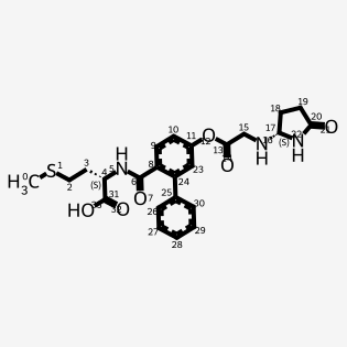 CSCC[C@H](NC(=O)c1ccc(OC(=O)CN[C@@H]2CCC(=O)N2)cc1-c1ccccc1)C(=O)O